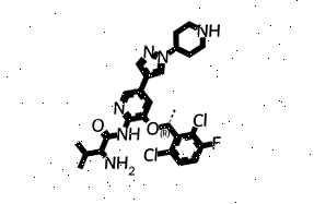 CC(C)C(N)C(=O)Nc1ncc(-c2cnn(C3CCNCC3)c2)cc1O[C@H](C)c1c(Cl)ccc(F)c1Cl